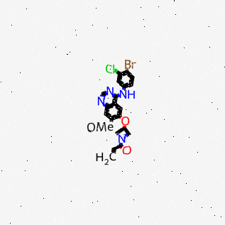 C=CC(=O)N1CC(Oc2cc3c(Nc4ccc(Br)c(Cl)c4)ncnc3cc2OC)C1